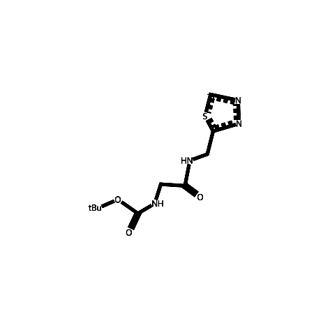 CC(C)(C)OC(=O)NCC(=O)NCc1nn[c]s1